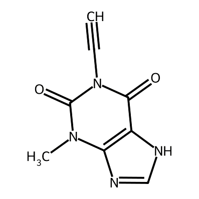 C#Cn1c(=O)c2[nH]cnc2n(C)c1=O